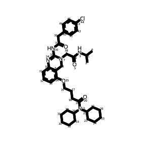 CC(C)NC(=O)CN1Cc2c(cccc2OCCCC(=O)N(C2CCCCC2)C2CCCCC2)N=C1NC(=O)Cc1ccc(Cl)cc1